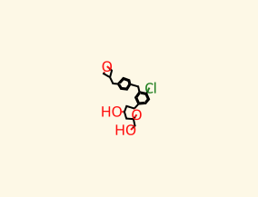 OCC1CC(O)CC(c2ccc(Cl)c(Cc3ccc(CC4COC4)cc3)c2)O1